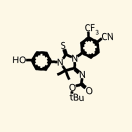 CC(C)(C)OC(=O)N=C1N(c2ccc(C#N)c(C(F)(F)F)c2)C(=S)N(c2ccc(O)cc2)C1(C)C